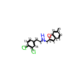 Cc1ccc2cc(CNCCc3ccc(Cl)c(Cl)c3)oc2c1